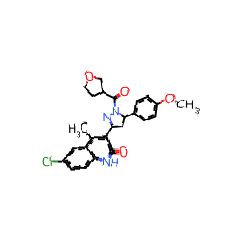 COc1ccc(C2CC(c3c(C)c4cc(Cl)ccc4[nH]c3=O)=NN2C(=O)C2CCOC2)cc1